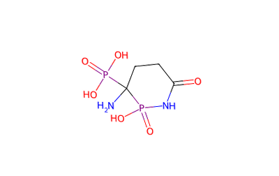 NC1(P(=O)(O)O)CCC(=O)NP1(=O)O